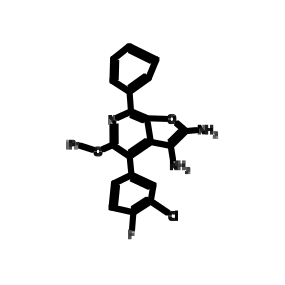 CC(C)Oc1nc(-c2ccccc2)c2oc(N)c(N)c2c1-c1ccc(F)c(Cl)c1